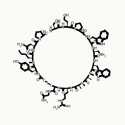 CCCC[C@H]1C(=O)N[C@@H](CC(N)=O)C(=O)N2CCC[C@H]2CN[C@@H](CO)C(=O)N[C@@H](CCO)C(=O)N2CCC[C@H]2C(=O)N[C@@H](Cc2c[nH]c3ccccc23)C(=O)N[C@@H](CN)C(=O)N[C@@H](Cc2c[nH]c3ccccc23)C(=O)N(C)[C@@H](C)C(=O)N(C)[C@@H](C)C(=O)N[C@@H](CCCNC(=N)N)C(=O)NC(C(=O)NCC(N)=O)CSCC(=O)N[C@@H](Cc2ccc(O)cc2)C(=O)N1C